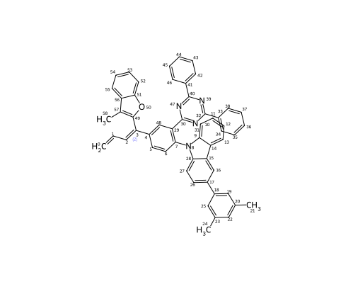 C=C/C=C(/c1ccc(-n2c3ccccc3c3cc(-c4cc(C)cc(C)c4)ccc32)c(-c2nc(-c3ccccc3)nc(-c3ccccc3)n2)c1)c1oc2ccccc2c1C